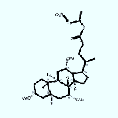 CO[C@@H]1CC[C@@]2(C)[C@@H](C1)C[C@@H](OC)[C@H]1[C@@H]3CC[C@H]([C@H](C)CCC(=O)OC(C)O[N+](=O)[O-])C3[C@@H](OC)C[C@@H]12